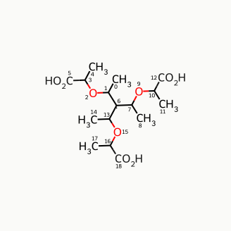 CC(OC(C)C(=O)O)[C](C(C)OC(C)C(=O)O)C(C)OC(C)C(=O)O